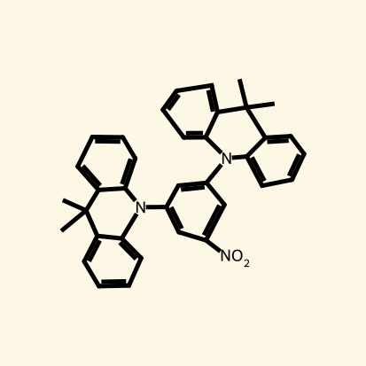 CC1(C)c2ccccc2N(c2cc(N3c4ccccc4C(C)(C)c4ccccc43)cc([N+](=O)[O-])c2)c2ccccc21